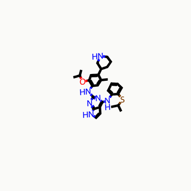 Cc1cc(Nc2nc(Nc3ccccc3SC(C)C)c3cc[nH]c3n2)c(OC(C)C)cc1C1CCCNC1